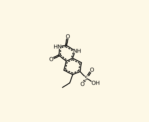 CCc1cc2c(=O)[nH]c(=O)[nH]c2cc1S(=O)(=O)O